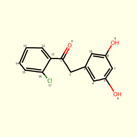 O=C(Cc1cc(O)cc(O)c1)c1ccccc1Cl